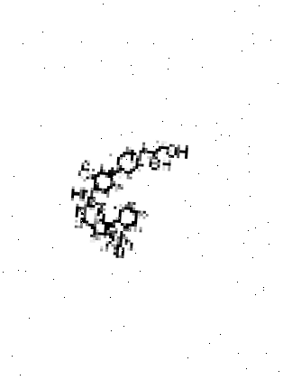 COc1cc(C2CCN(CC(O)CO)CC2)ccc1Nc1ncc2ccc(-c3ccccc3N(C)S(C)(=O)=O)n2n1